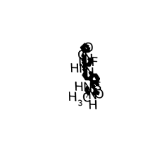 C[C@@H]1CNc2c(sc3ccc4nc(Nc5cc(F)nc(O[C@H]6CCOC6)n5)ccc4c23)C(=O)N1